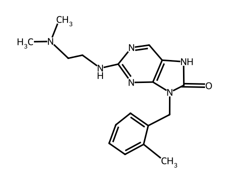 Cc1ccccc1Cn1c(=O)[nH]c2cnc(NCCN(C)C)nc21